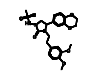 COc1ccc(CCN2C(=O)N(NS(C)(=O)=O)CC2c2ccc3c(c2)OCCO3)cc1OC